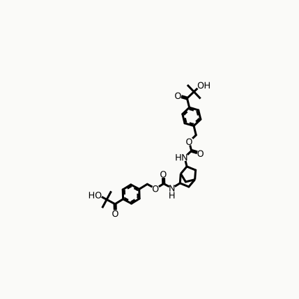 CC(C)(O)C(=O)c1ccc(COC(=O)NC2CC3CC(NC(=O)OCc4ccc(C(=O)C(C)(C)O)cc4)C2C3)cc1